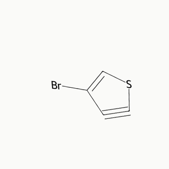 Brc1c#csc1